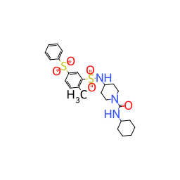 Cc1ccc(S(=O)(=O)c2ccccc2)cc1S(=O)(=O)NC1CCN(C(=O)NC2CCCCC2)CC1